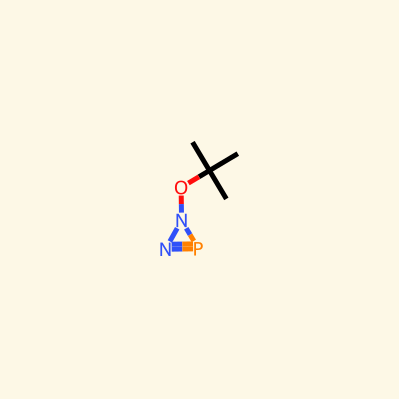 CC(C)(C)ON1N=P1